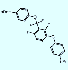 CCCCCCCCCCc1ccc(OC(F)(F)c2c(F)c[c]c(Oc3ccc(CCC)cc3)c2F)cc1